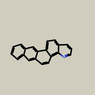 c1ccc2cc3c(ccc4c3ccc3cccnc34)cc2c1